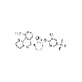 Cc1cccc(C(=O)N2CCC[C@@H](Oc3ncc(C(F)(F)F)cc3Cl)[C@@H]2C)c1-c1ncccn1